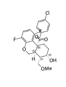 COC[C@@H]1[C@H]2COc3c(F)ccc(F)c3[C@@]2(S(=O)(=O)c2ccc(Cl)cc2)CC[C@@H]1O